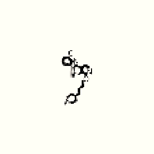 CN1CCC(CCCCOc2nccc(-c3nc4c(Cl)cccc4[nH]3)c2Cl)CC1